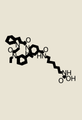 CCc1cccc(N(CC)C(=O)Cn2c(C(=O)NC3CCC(C(=O)NCCCCCCNC(=O)O)CC3)cc3ccccc32)c1